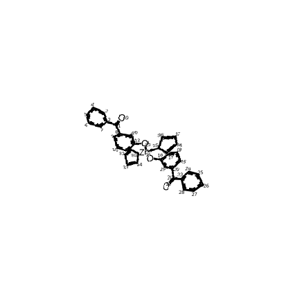 O=C(c1ccccc1)c1cccc([O][Zr]([O]c2cccc(C(=O)c3ccccc3)c2)([CH]2C=CC=C2)[CH]2C=CC=C2)c1